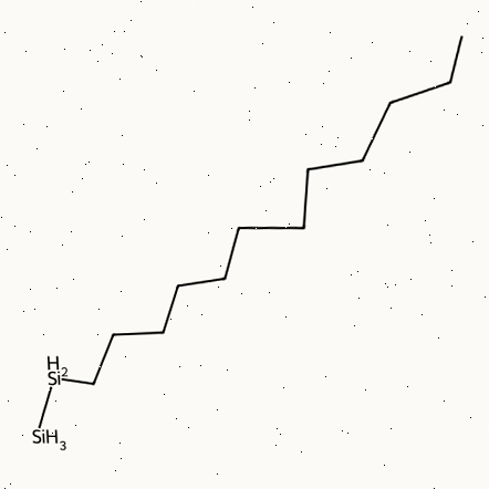 CCCCCCCCCCCC[SiH2][SiH3]